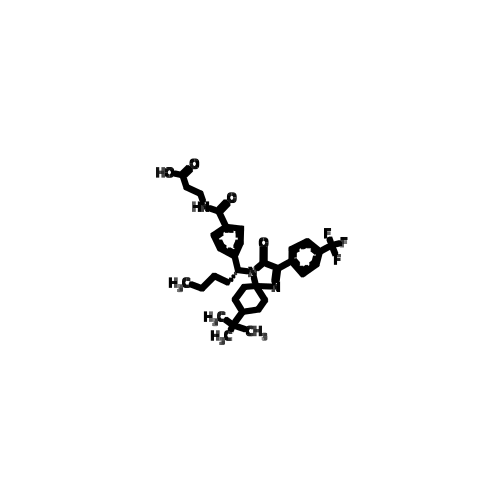 CCCC[C@H](c1ccc(C(=O)NCCC(=O)O)cc1)N1C(=O)C(c2ccc(C(F)(F)F)cc2)=NC12CCC(C(C)(C)C)CC2